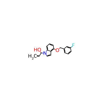 C=CC(O)n1ccc2c(OCc3cccc(F)c3)cccc21